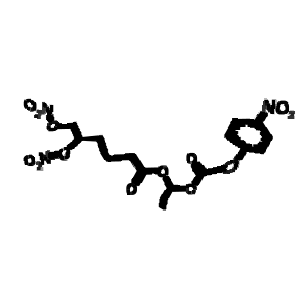 CC(OC(=O)CCC[C@H](CO[N+](=O)[O-])O[N+](=O)[O-])OC(=O)Oc1ccc([N+](=O)[O-])cc1